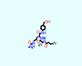 CC(C)CCC(=O)N[C@H](C(=O)N[C@@H](CCCNC(=O)N(C)C)C(=O)Nc1ccc(CO)cc1)C(C)C